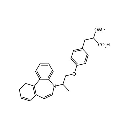 COC(Cc1ccc(OCC(C)N2C=CC3=C(CCC=C3)c3ccccc32)cc1)C(=O)O